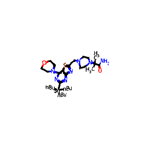 CCC[CH2][Sn]([CH2]CCC)([CH2]CCC)[c]1nc(N2CCOCC2)c2sc(CN3CCN(C(C)(C)C(N)=O)CC3)nc2n1